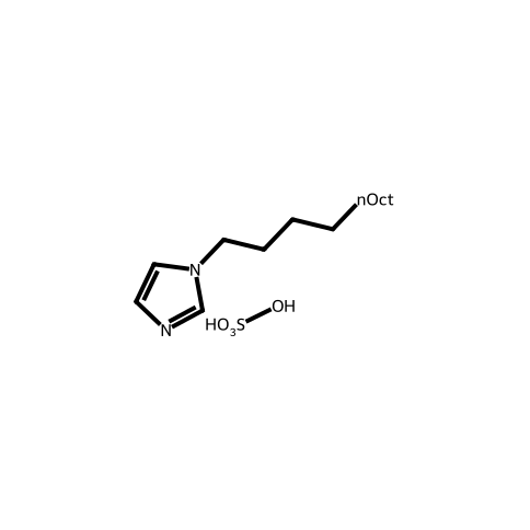 CCCCCCCCCCCCn1ccnc1.O=S(=O)(O)O